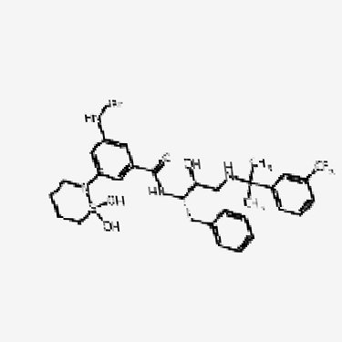 CC(C)Nc1cc(C(=O)N[C@@H](Cc2ccccc2)[C@@H](O)CNC(C)(C)c2cccc(C(F)(F)F)c2)cc(N2CCCCS2(O)O)c1